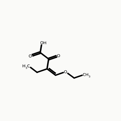 CCOC=C(CC)C(=O)C(=O)O